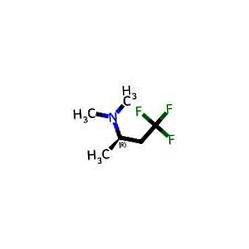 C[C@H](CC(F)(F)F)N(C)C